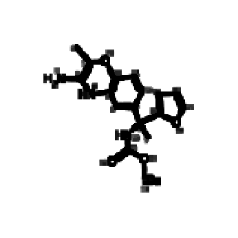 CC1=C(N)Nc2cc(C(C)(NC(=O)OC(C)(C)C)c3ccco3)ccc2O1